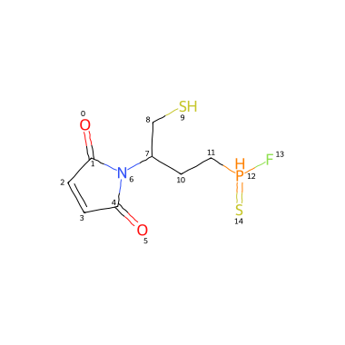 O=C1C=CC(=O)N1C(CS)CC[PH](F)=S